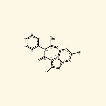 Cc1cc2cc(C(C)C)ccn2c1C(=O)N(C(=O)C(C)(C)C)c1ccccc1